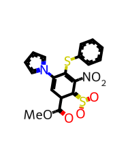 COC(=O)C1C=C(n2cccc2)C(Sc2ccccc2)=C([N+](=O)[O-])C1=S(=O)=O